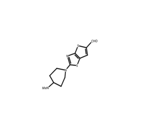 CNC1CCN(c2nc3sc(C=O)cc3s2)CC1